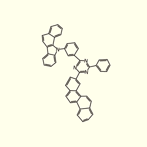 c1ccc(-c2nc(-c3cccc(-n4c5ccccc5c5ccc6ccccc6c54)c3)nc(-c3ccc4ccc5c6ccccc6ccc5c4c3)n2)cc1